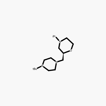 CC(C)N1CCO[C@@H](CN2CCN(C(C)(C)C)CC2)C1